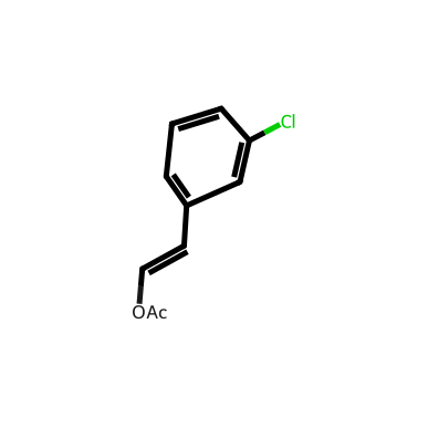 CC(=O)OC=Cc1cccc(Cl)c1